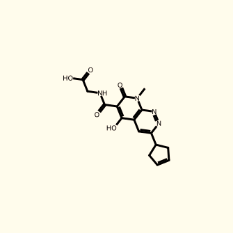 Cn1c(=O)c(C(=O)NCC(=O)O)c(O)c2cc(C3CC=CC3)nnc21